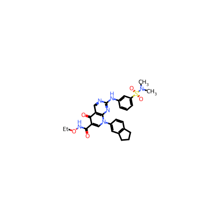 CCONC(=O)c1cn(-c2ccc3c(c2)CCC3)c2nc(Nc3cccc(S(=O)(=O)N(C)C)c3)ncc2c1=O